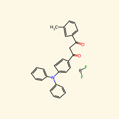 Cc1cccc(C(=O)CC(=O)c2ccc(N(c3ccccc3)c3ccccc3)cc2)c1.F[B]F